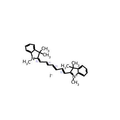 CN1/C(=C/C=C/C=C/C=C/C2=[N+](C)c3ccccc3C2(C)C)C(C)(C)c2ccccc21.[I-]